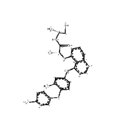 Cc1ccc(Oc2ccc(Nc3ncnc4cccc(O[C@H](C)C(=O)N[C@H](C)CO)c34)cc2C)cn1